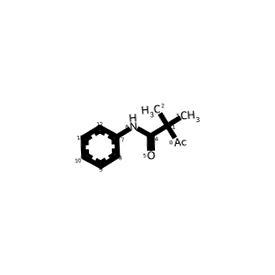 CC(=O)C(C)(C)C(=O)Nc1ccccc1